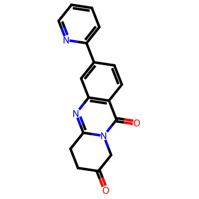 O=C1CCc2nc3cc(-c4ccccn4)ccc3c(=O)n2C1